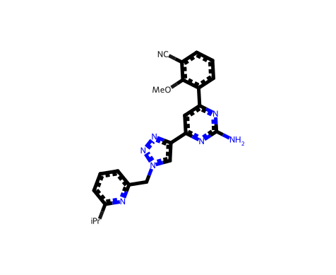 COc1c(C#N)cccc1-c1cc(-c2cn(Cc3cccc(C(C)C)n3)nn2)nc(N)n1